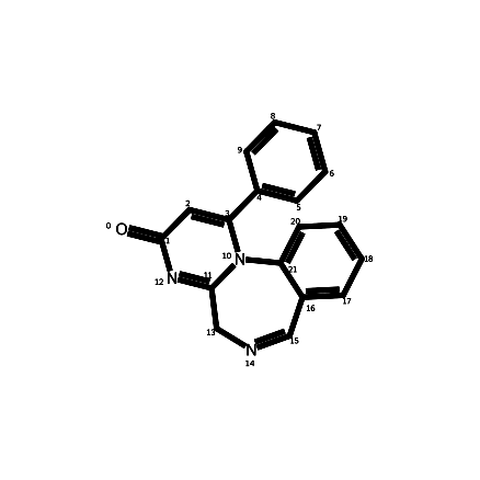 O=c1cc(-c2ccccc2)n2c(n1)CN=Cc1ccccc1-2